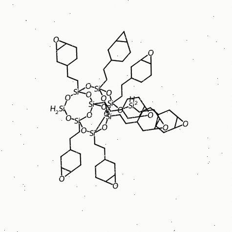 C(CC1CCC2OC2C1)[SiH2]O[Si]1(CCC2CCC3OC3C2)O[Si]2(CCC3CCC4CC4C3)O[Si]3(CCC4CCC5OC5C4)O[SiH2]O[Si]4(CCC5CCC6OC6C5)O[Si](CCC5CCC6OC6C5)(O1)O[Si](CCC1CCC5OC5C1)(O2)O[Si](CCC1CCC2OC2C1)(O3)O4